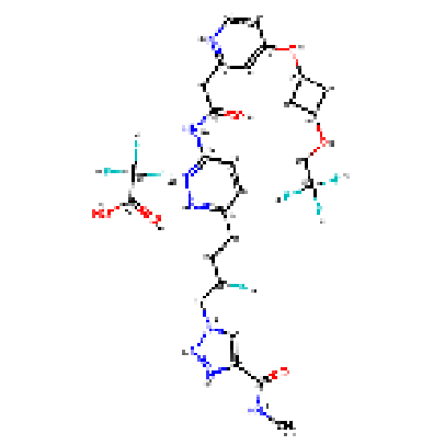 CNC(=O)c1cn(CC(F)CCc2ccc(NC(=O)Cc3cc(OC4CC(OCC(F)(F)F)C4)ccn3)nn2)nn1.O=C(O)C(F)(F)F